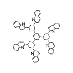 c1ccc2nc(C3CC(c4cc(C5CC(c6ccc7ccccc7n6)CC(c6ccc7ccccc7n6)C5)cc(C5CC(c6ccc7ccccc7n6)CC(c6ccc7ccccc7n6)C5)c4)CC(c4ccc5ccccc5n4)C3)ccc2c1